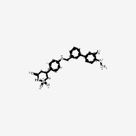 COc1ccc(-c2cccc(COc3ccc(C4CC(=O)NS(=O)(=O)C4)cc3)c2)cc1Cl